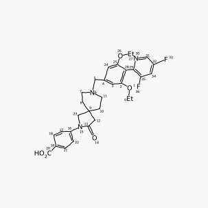 CCOc1cc(CN2CCC3(CC2)CC(=O)N(c2ccc(C(=O)O)cc2)C3)cc(OCC)c1-c1ncc(F)cc1F